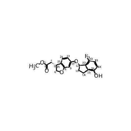 COC(=O)C[C@H]1COc2cc(OC3CCc4c(O)ccc(F)c43)ccc21